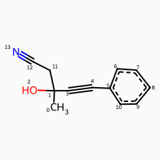 CC(O)(C#Cc1ccccc1)CC#N